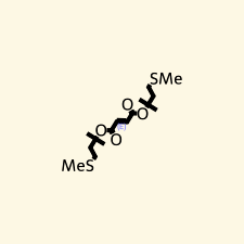 CSCCC(C)(C)OC(=O)/C=C/C(=O)OC(C)(C)CCSC